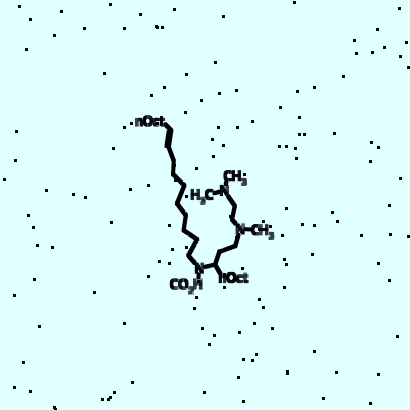 CCCCCCCCC=CCCCCCCCCN(C(=O)O)C(CCCCCCCC)CCN(C)CCN(C)C